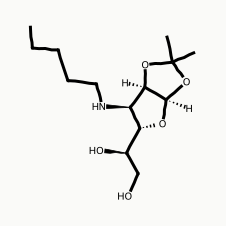 CCCCCN[C@H]1[C@H]2OC(C)(C)O[C@H]2O[C@@H]1[C@H](O)CO